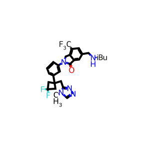 CC[C@H](C)NCc1cc2c(c(C(F)(F)F)c1)CN(c1cccc(C3(Cc4nncn4C)CC(F)(F)C3)c1)C2=O